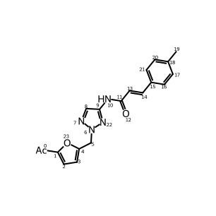 CC(=O)c1ccc(Cn2ncc(NC(=O)C=Cc3ccc(C)cc3)n2)o1